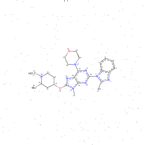 CCc1nc2ccccc2n1-c1nc(N2CCOCC2)c2nc(OC3CCN(C(=O)O)C(C(C)(C)C)C3)n(C)c2n1